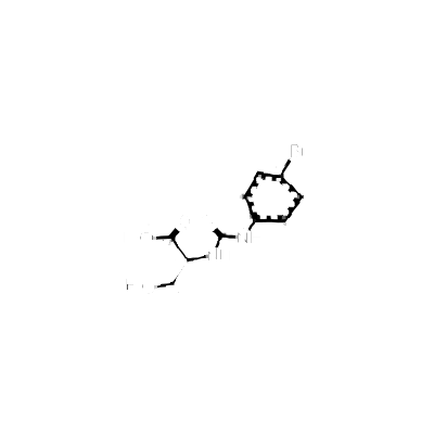 O=C(Nc1ccc(Br)cc1)N[C@@H](CO)C(=O)O